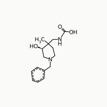 CC1(CNC(=O)O)CCN(Cc2ccccc2)C[C@H]1O